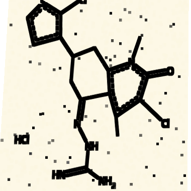 Cc1c2c(n(C)c(=O)c1Cl)CC(c1ccsc1Cl)C/C2=N/NC(=N)N.Cl